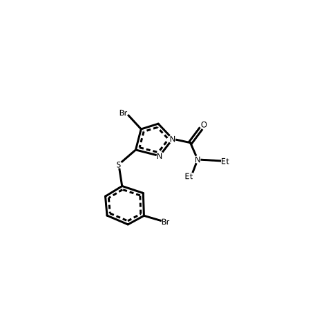 CCN(CC)C(=O)n1cc(Br)c(Sc2cccc(Br)c2)n1